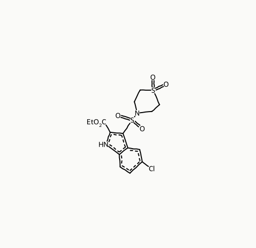 CCOC(=O)c1[nH]c2ccc(Cl)cc2c1S(=O)(=O)N1CCS(=O)(=O)CC1